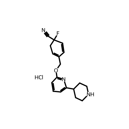 Cl.N#CC1(F)C=CC(COc2cccc(C3CCNCC3)n2)=CC1